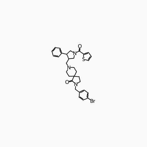 O=C(c1cccs1)N1CC(CN2CCC3(CC2)CCN(Cc2ccc(Br)cc2)C3=O)C(c2ccccc2)C1